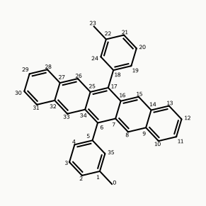 Cc1cccc(-c2c3cc4ccccc4cc3c(-c3cccc(C)c3)c3cc4ccccc4cc23)c1